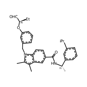 CC[C@H](C=O)Oc1cccc(Cn2c(C)c(C)c3cc(C(=O)N[C@@H](C)c4cccc(C(C)C)c4)ccc32)c1